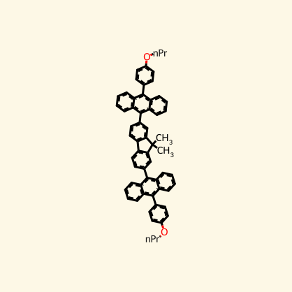 CCCOc1ccc(-c2c3ccccc3c(-c3ccc4c(c3)C(C)(C)c3cc(-c5c6ccccc6c(-c6ccc(OCCC)cc6)c6ccccc56)ccc3-4)c3ccccc23)cc1